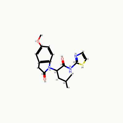 COc1ccc2c(c1)CC(=O)N2C(CC(C)C)C(=O)Nc1nccs1